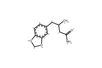 CC(CC(N)=O)Cc1ccc2c(c1)OCO2